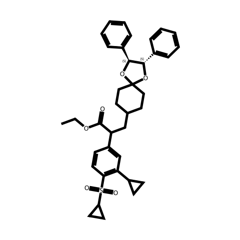 CCOC(=O)C(CC1CCC2(CC1)O[C@@H](c1ccccc1)[C@H](c1ccccc1)O2)c1ccc(S(=O)(=O)C2CC2)c(C2CC2)c1